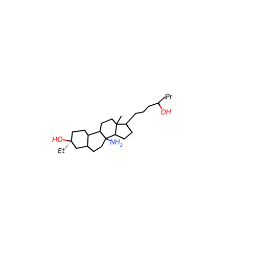 CC[C@]1(O)CCC2C(CCC3(N)C2CCC2(C)C(CCCC(O)C(C)C)CCC23)C1